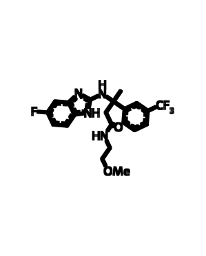 COCCNC(=O)CC(C)(Nc1nc2cc(F)ccc2[nH]1)c1cccc(C(F)(F)F)c1